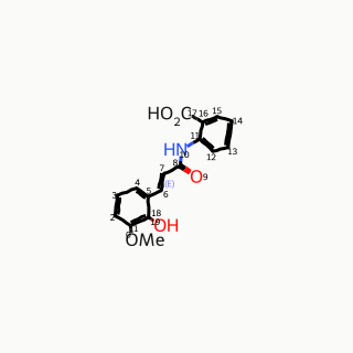 COc1cccc(/C=C/C(=O)Nc2ccccc2C(=O)O)c1O